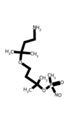 CC(C)(CCN)OCCC(C)(C)OP(C)(=O)N=O